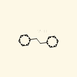 [MgH2].c1ccc(CCc2ccccc2)cc1